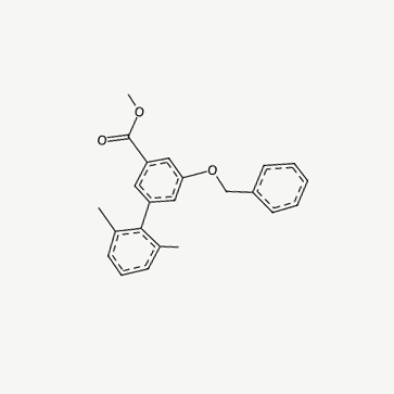 COC(=O)c1cc(OCc2ccccc2)cc(-c2c(C)cccc2C)c1